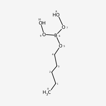 CCCCCOB(OO)OO